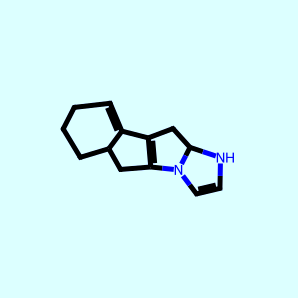 C1=CN2C3=C(CC2N1)C1=CCCCC1C3